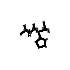 C[SiH](C)N[SiH](C)N(C1CCCC1)[SiH](C)C